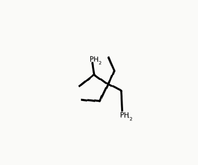 CCC(CC)(CP)C(C)P